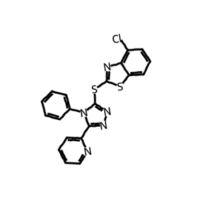 Clc1cccc2sc(Sc3nnc(-c4ccccn4)n3-c3ccccc3)nc12